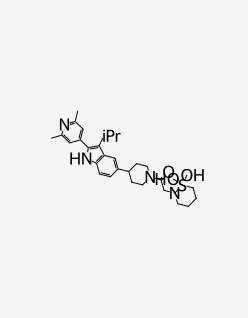 Cc1cc(-c2[nH]c3ccc(C4CCN(C(=O)CN5CCCCS5(O)O)CC4)cc3c2C(C)C)cc(C)n1